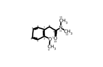 COc1[c]cccc1CC(=O)N(C)C